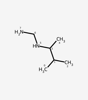 CC(C)C(C)NCN